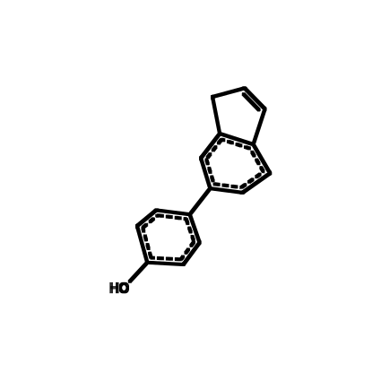 Oc1ccc(-c2ccc3c(c2)CC=C3)cc1